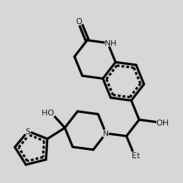 CCC(C(O)c1ccc2c(c1)CCC(=O)N2)N1CCC(O)(c2cccs2)CC1